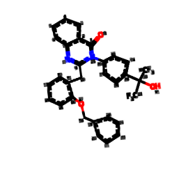 O=c1c2ccccc2nc(Cc2ccccc2OCc2ccccc2)n1-c1ccc(C(O)(C(F)(F)F)C(F)(F)F)cc1